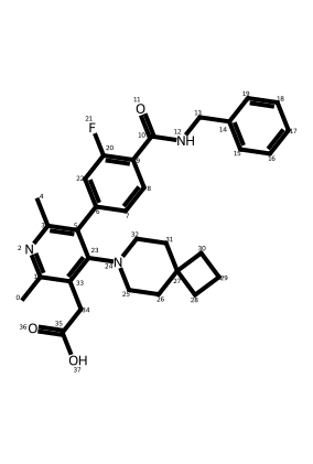 Cc1nc(C)c(-c2ccc(C(=O)NCc3ccccc3)c(F)c2)c(N2CCC3(CCC3)CC2)c1CC(=O)O